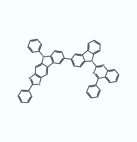 c1ccc(-c2nc3cc4c(cc3s2)c2cc(-c3ccc5c(c3)c3ccccc3n5-c3nc(-c5ccccc5)c5ccccc5n3)ccc2n4-c2ccccc2)cc1